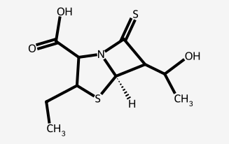 CCC1S[C@@H]2C(C(C)O)C(=S)N2C1C(=O)O